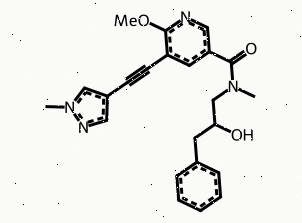 COc1ncc(C(=O)N(C)CC(O)Cc2ccccc2)cc1C#Cc1cnn(C)c1